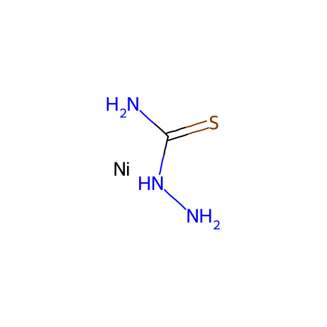 NNC(N)=S.[Ni]